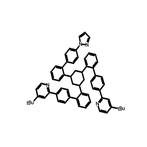 CC(C)(C)c1ccnc(-c2ccc(-c3ccccc3C3CC(c4ccccc4-c4ccc(-c5cc(C(C)(C)C)ccn5)cc4)CC(c4ccccc4-c4ccc(-n5cccn5)cc4)C3)cc2)c1